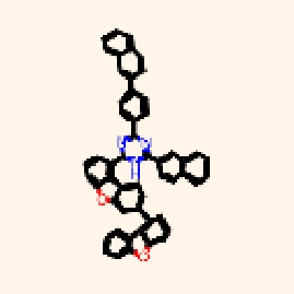 c1ccc2cc(C3=NC(c4ccc(-c5ccc6ccccc6c5)cc4)=NC(c4cccc5oc6cc(-c7cccc8oc9ccccc9c78)ccc6c45)N3)ccc2c1